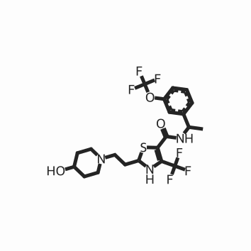 CC(NC(=O)C1=C(C(F)(F)F)NC(CCN2CCC(O)CC2)S1)c1cccc(OC(F)(F)F)c1